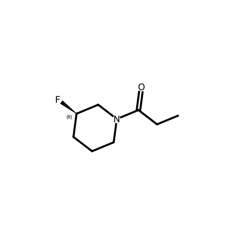 CCC(=O)N1CCC[C@@H](F)C1